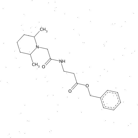 CC1CCCC(C)N1CC(=O)NCCC(=O)OCc1ccccc1